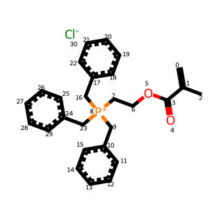 C=C(C)C(=O)OCC[P+](Cc1ccccc1)(Cc1ccccc1)Cc1ccccc1.[Cl-]